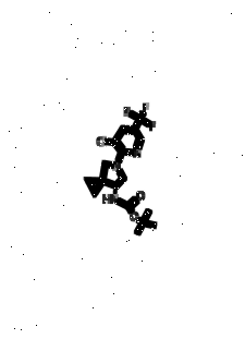 CC(C)(C)OC(=O)N[C@H]1CN(c2ncc(C(F)(F)F)cc2Cl)CC12CC2